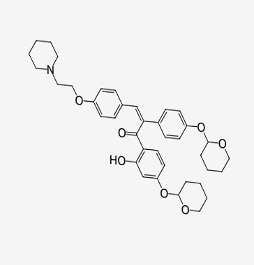 O=C(C(=Cc1ccc(OCCN2CCCCC2)cc1)c1ccc(OC2CCCCO2)cc1)c1ccc(OC2CCCCO2)cc1O